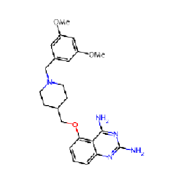 COc1cc(CN2CCC(COc3cccc4nc(N)nc(N)c34)CC2)cc(OC)c1